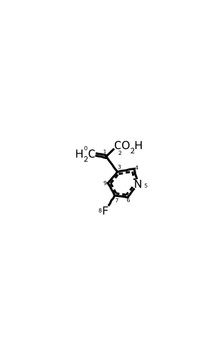 C=C(C(=O)O)c1cncc(F)c1